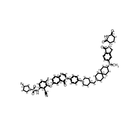 CN(c1ccc2c(c1)CN([C@H]1CCC(=O)NC1=O)C2=O)C1CCC2(CC1)CCN(CC1CCN(c3ccc(-n4cnc5ccc(Oc6c(F)ccc(NS(=O)(=O)N7CC[C@@H](F)C7)c6C#N)cc5c4=O)cc3)CC1)CC2